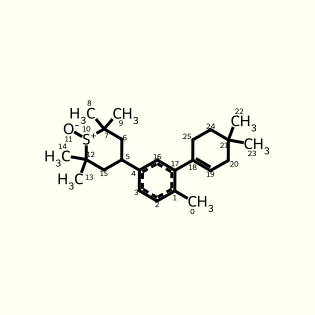 Cc1ccc(C2CC(C)(C)[S+]([O-])C(C)(C)C2)cc1C1=CCC(C)(C)CC1